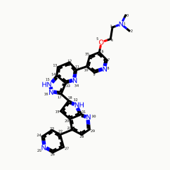 CN(C)CCOc1cncc(-c2ccc3[nH]nc(-c4cc5c(-c6ccncc6)ccnc5[nH]4)c3n2)c1